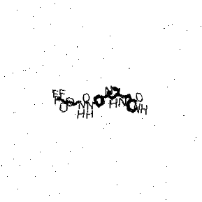 O=C(NCCOC(=O)C(F)(F)F)Nc1ccc(-c2cc(-c3cc4c([nH]3)CCNC4=O)ccn2)cc1